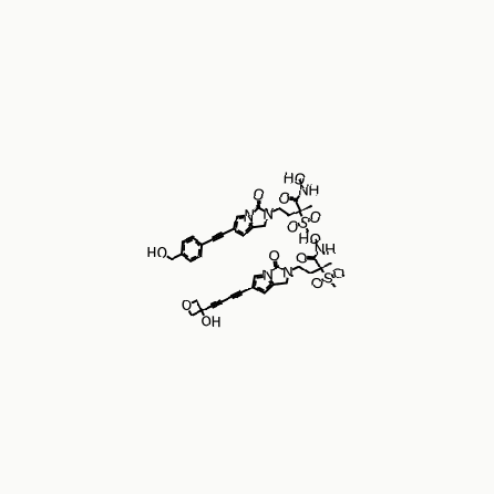 C[C@@](CCN1Cc2cc(C#CC#CC3(O)COC3)cn2C1=O)(C(=O)NO)S(C)(=O)=O.C[C@@](CCN1Cc2cc(C#Cc3ccc(CO)cc3)cn2C1=O)(C(=O)NO)S(C)(=O)=O